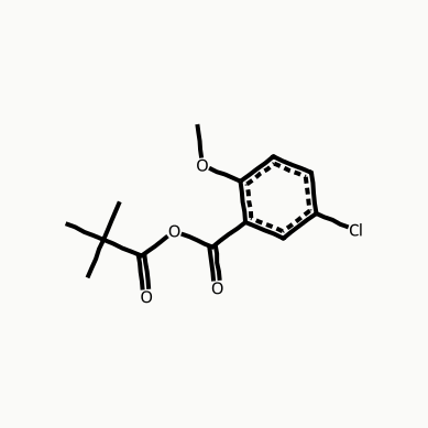 COc1ccc(Cl)cc1C(=O)OC(=O)C(C)(C)C